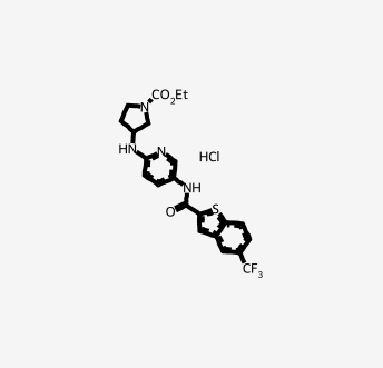 CCOC(=O)N1CCC(Nc2ccc(NC(=O)c3cc4cc(C(F)(F)F)ccc4s3)cn2)C1.Cl